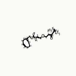 CC(C)C(=O)CCOCCNC(=O)OCC1C2CCC#CCCC21